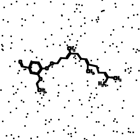 CCOc1cc(C=O)ccc1OOCC/C=C(\C)CC/C=C(\C)CCC=C(C)C